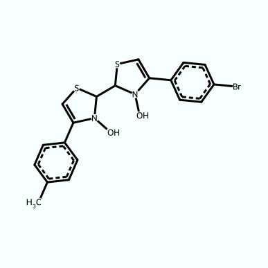 Cc1ccc(C2=CSC(C3SC=C(c4ccc(Br)cc4)N3O)N2O)cc1